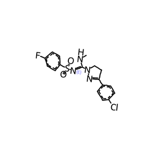 CN/C(=N\S(=O)(=O)c1ccc(F)cc1)N1CCC(c2ccc(Cl)cc2)=N1